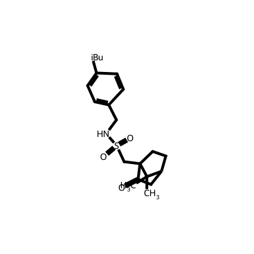 CCC(C)c1ccc(CNS(=O)(=O)CC23CCC(CC2=O)C3(C)C)cc1